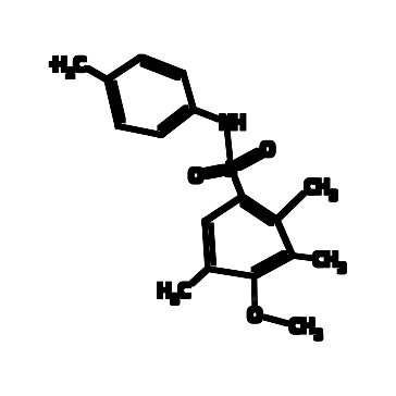 [CH2]c1ccc(NS(=O)(=O)c2cc(C)c(OC)c(C)c2C)cc1